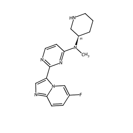 CN(c1ccnc(-c2cnc3ccc(F)cn23)n1)[C@@H]1CCCNC1